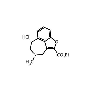 CCOC(=O)c1oc2cccc3c2c1CN(C)CC3.Cl